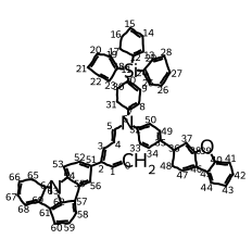 C=C/C(=C\C=C\N(C1=CC=C([Si](C2=CC=CCC2)(c2ccccc2)c2ccccc2)CC1)c1ccc(C2C=c3oc4ccccc4c3=CC2)cc1)c1ccc2c(c1)c1cccc3c1n2C1CC=CC=C31